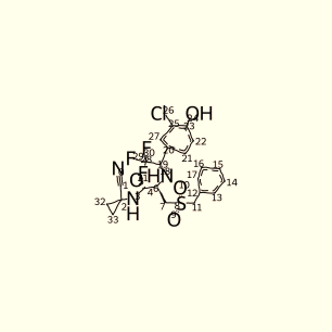 N#CC1(NC(=O)[C@H](CS(=O)(=O)Cc2ccccc2)N[C@@H](c2ccc(O)c(Cl)c2)C(F)(F)F)CC1